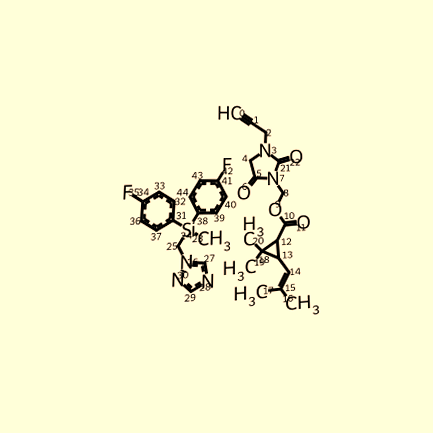 C#CCN1CC(=O)N(COC(=O)C2C(C=C(C)C)C2(C)C)C1=O.C[Si](Cn1cncn1)(c1ccc(F)cc1)c1ccc(F)cc1